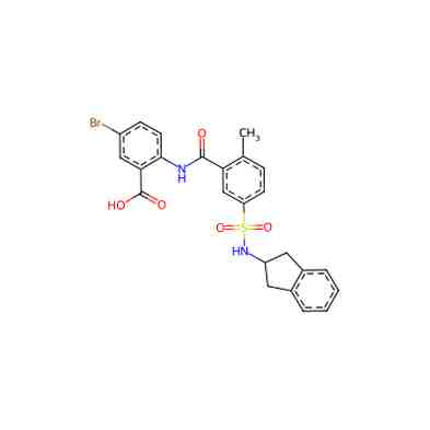 Cc1ccc(S(=O)(=O)NC2Cc3ccccc3C2)cc1C(=O)Nc1ccc(Br)cc1C(=O)O